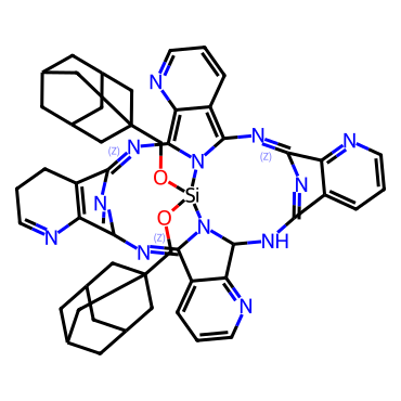 C1=NC2=C(CC1)/C1=N/c3c4ncccc4c4n3[Si](OCC35CC6CC(CC(C6)C3)C5)(OCC35CC6CC(CC(C6)C3)C5)N3/C(=N\C2=N1)c1cccnc1C3NC1=N/C(=N\4)c2ncccc21